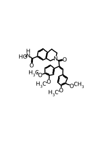 COc1ccc(/C=C(/C(=O)N2CCc3ccc(C(=O)NO)cc3C2)c2ccc(OC)c(OC)c2)cc1OC